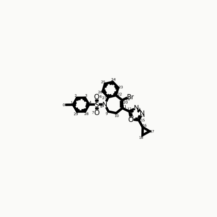 Cc1ccc(S(=O)(=O)N2CCC(c3nnc(C4CC4)o3)=C(Br)c3ccccc32)cc1